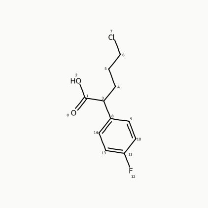 O=C(O)C(CCCCl)c1ccc(F)cc1